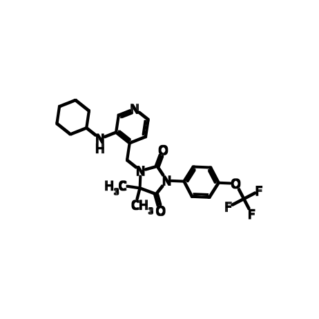 CC1(C)C(=O)N(c2ccc(OC(F)(F)F)cc2)C(=O)N1Cc1ccncc1NC1CCCCC1